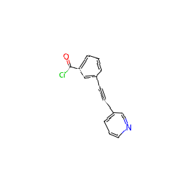 O=C(Cl)c1cccc(C#Cc2cccnc2)c1